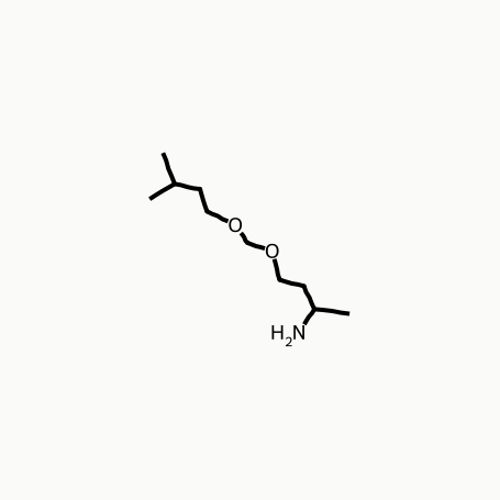 CC(C)CCOCOCCC(C)N